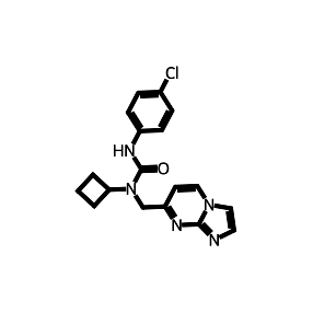 O=C(Nc1ccc(Cl)cc1)N(Cc1ccn2ccnc2n1)C1CCC1